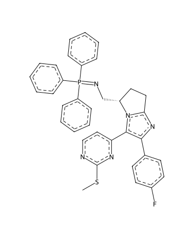 CSc1nccc(-c2c(-c3ccc(F)cc3)nc3n2[C@H](CN=P(c2ccccc2)(c2ccccc2)c2ccccc2)CC3)n1